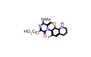 CNC1N=C(OC(=O)O)C(=O)N2C1=COC1C2=C(F)C=C2CCCNC21